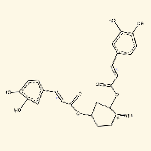 O=C(/C=C/c1ccc(O)c(O)c1)OC1CC[C@H](O)C(OC(=O)/C=C/c2ccc(O)c(O)c2)C1